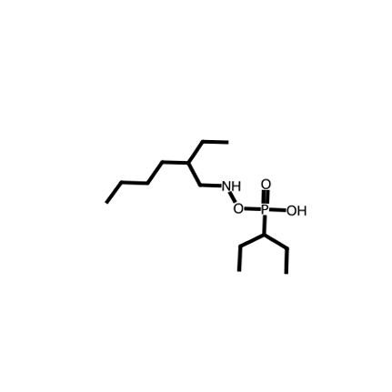 CCCCC(CC)CNOP(=O)(O)C(CC)CC